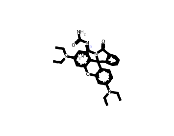 CCN(CC)c1ccc2c(c1)Oc1cc(N(CC)CC)ccc1C21c2ccccc2C(=O)N1/C(N)=N/C(N)=O